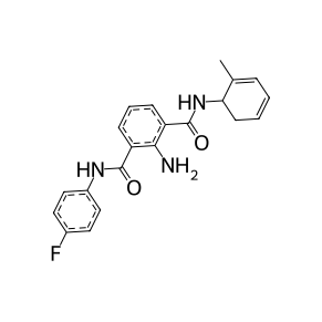 CC1=CC=CCC1NC(=O)c1cccc(C(=O)Nc2ccc(F)cc2)c1N